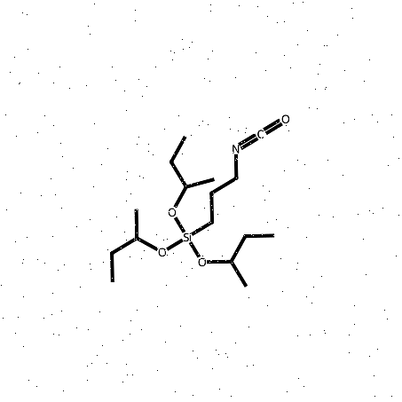 CCC(C)O[Si](CCCN=C=O)(OC(C)CC)OC(C)CC